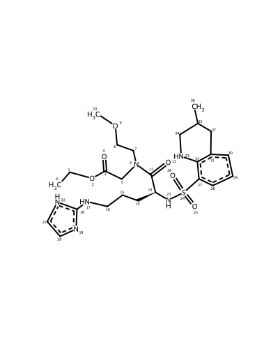 CCOC(=O)CN(CCOC)C(=O)[C@H](CCCNc1ncc[nH]1)NS(=O)(=O)c1cccc2c1NCC(C)C2